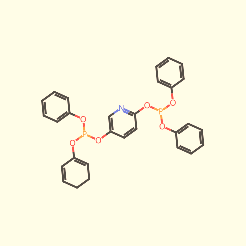 C1=CC(OP(Oc2ccccc2)Oc2ccc(OP(Oc3ccccc3)Oc3ccccc3)nc2)=CCC1